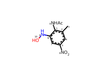 CC(=O)Nc1c(C)cc([N+](=O)[O-])cc1NO